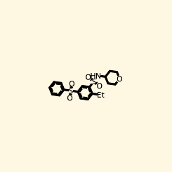 CCc1ccc(S(=O)(=O)c2ccccc2)cc1S(=O)(=O)NC1CCOCC1